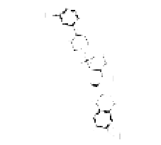 CCC(CC(C)(C)N1CCC(c2cccc(O)c2)CC1)NC(=O)[C@H]1Cc2ccc(O)cc2CS1